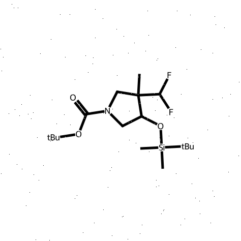 CC(C)(C)OC(=O)N1CC(O[Si](C)(C)C(C)(C)C)C(C)(C(F)F)C1